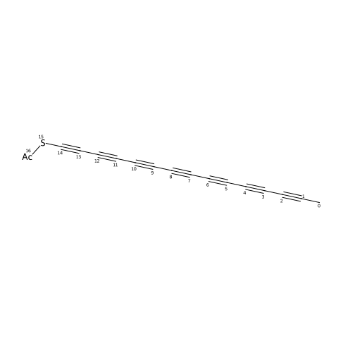 CC#CC#CC#CC#CC#CC#CC#CSC(C)=O